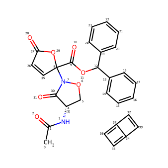 CC(=O)N[C@H]1CON(C2(C(=O)OC(c3ccccc3)c3ccccc3)C=CC(=O)O2)C1=O.c1cc2ccc1-2